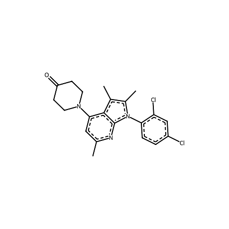 Cc1cc(N2CCC(=O)CC2)c2c(C)c(C)n(-c3ccc(Cl)cc3Cl)c2n1